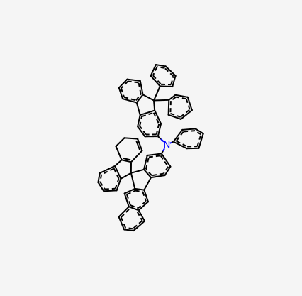 C1=CC2=C(CC1)c1ccccc1C21c2cc(N(c3ccccc3)c3ccc4c(c3)C(c3ccccc3)(c3ccccc3)c3ccccc3-4)ccc2-c2cc3ccccc3cc21